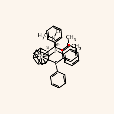 CCN(C)[C@@H](CN(C)C)[C@]12[CH]3[CH]4[CH]5[C]1(P(c1ccccc1)c1ccccc1)[Fe]45321678[CH]2[CH]1[CH]6[C]7(P(c1ccccc1)c1ccccc1)[CH]28